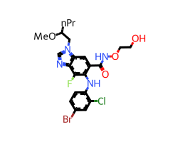 CCCC(Cn1cnc2c(F)c(Nc3ccc(Br)cc3Cl)c(C(=O)NOCCO)cc21)OC